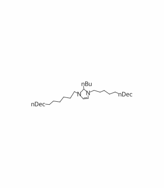 CCCCCCCCCCCCCCCCN1C=CN(CCCCCCCCCCCCCCC)C1CCCC